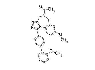 COc1ccc2c(n1)CN(C(C)=O)Cc1nnc(-c3ccc(-c4ccccc4OC)cc3)n1-2